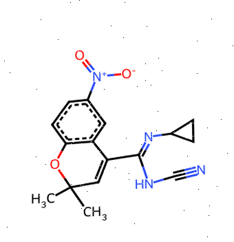 CC1(C)C=C(C(=NC2CC2)NC#N)c2cc([N+](=O)[O-])ccc2O1